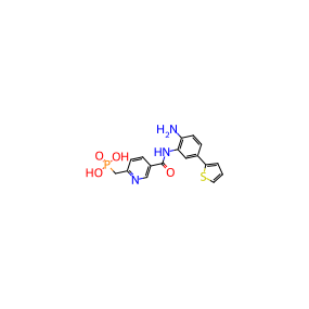 Nc1ccc(-c2cccs2)cc1NC(=O)c1ccc(CP(=O)(O)O)nc1